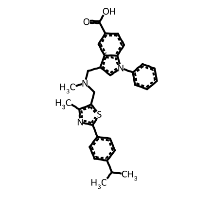 Cc1nc(-c2ccc(C(C)C)cc2)sc1CN(C)Cc1cn(-c2ccccc2)c2ccc(C(=O)O)cc12